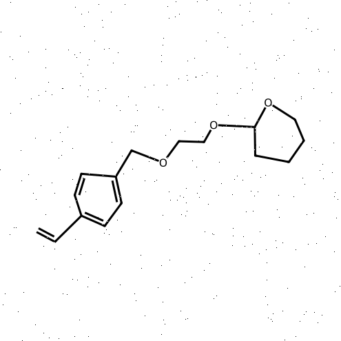 C=Cc1ccc(COCCOC2CCCCO2)cc1